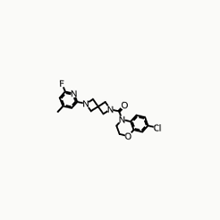 Cc1cc(F)nc(N2CC3(CN(C(=O)N4CCOc5cc(Cl)ccc54)C3)C2)c1